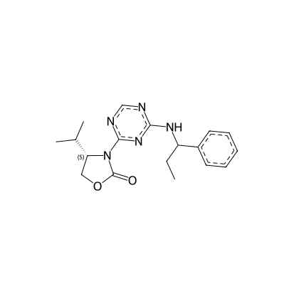 CCC(Nc1ncnc(N2C(=O)OC[C@@H]2C(C)C)n1)c1ccccc1